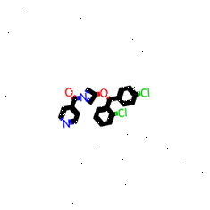 O=C(c1ccncc1)N1CC(OC(c2ccc(Cl)cc2)c2ccccc2Cl)C1